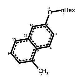 CCCCCCOc1ccc2c(C)cccc2c1